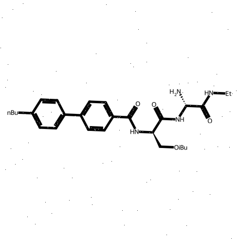 CCCCc1ccc(-c2ccc(C(=O)N[C@H](COCC(C)C)C(=O)N[C@H](N)C(=O)NCC)cc2)cc1